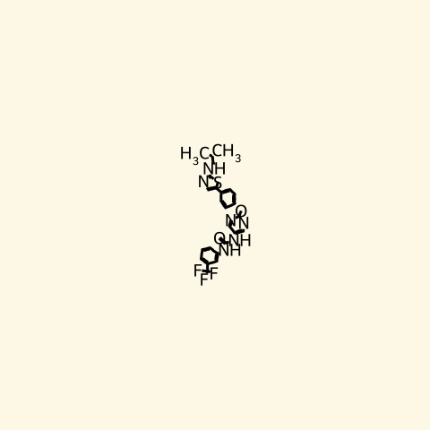 CC(C)CNc1ncc(-c2ccc(Oc3ncc(NC(=O)Nc4cccc(C(F)(F)F)c4)cn3)cc2)s1